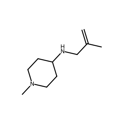 C=C(C)CNC1CCN(C)CC1